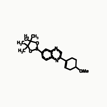 COC1CC=C(c2cnc3cc(B4OC(C)(C)C(C)(C)O4)ccc3n2)CC1